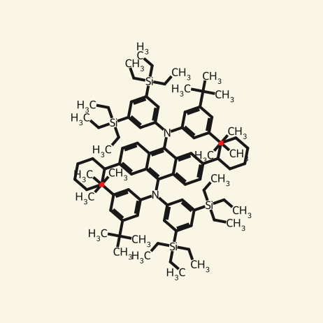 CC[Si](CC)(CC)c1cc(N(c2cc(C(C)(C)C)cc(C(C)(C)C)c2)c2c3ccc(C4CCCCC4)cc3c(N(c3cc(C(C)(C)C)cc(C(C)(C)C)c3)c3cc([Si](CC)(CC)CC)cc([Si](CC)(CC)CC)c3)c3ccc(C4CCCCC4)cc23)cc([Si](CC)(CC)CC)c1